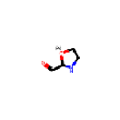 O=CC1NCCO1.[Pd]